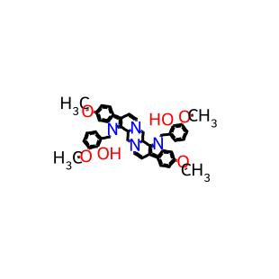 COc1ccc2c3c(n(Cc4cccc(OC)c4O)c2c1)C1CN2C=Cc4c(n(Cc5cccc(OC)c5O)c5cc(OC)ccc45)C2CN1C=C3